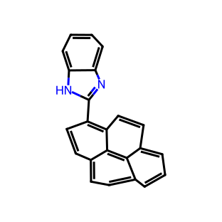 c1cc2ccc3ccc(-c4nc5ccccc5[nH]4)c4ccc(c1)c2c34